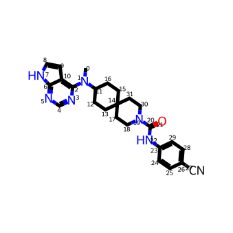 CN(c1ncnc2[nH]ccc12)C1CCC2(CC1)CCN(C(=O)Nc1ccc(C#N)cc1)CC2